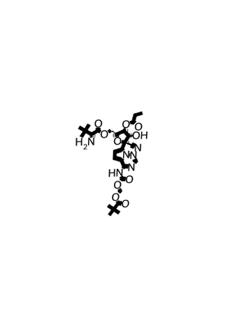 CCC(=O)O[C@H]1[C@@H](O)[C@](C#N)(c2ccc3c(NC(=O)OCOC(=O)C(C)(C)C)ncnn23)O[C@@H]1COC(=O)[C@@H](N)C(C)(C)C